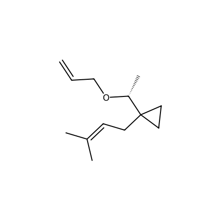 C=CCO[C@H](C)C1(CC=C(C)C)CC1